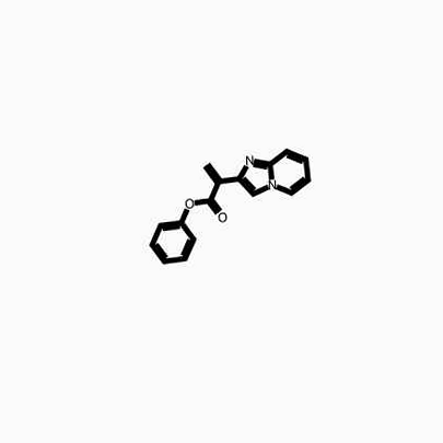 C=C(C(=O)Oc1ccccc1)c1cn2ccccc2n1